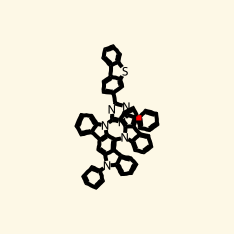 c1ccc(-c2nc(-c3ccc4c(c3)sc3ccccc34)nc(-n3c4ccccc4c4cc5c(c(-n6c7ccccc7c7ccccc76)c43)c3ccccc3n5-c3ccccc3)n2)cc1